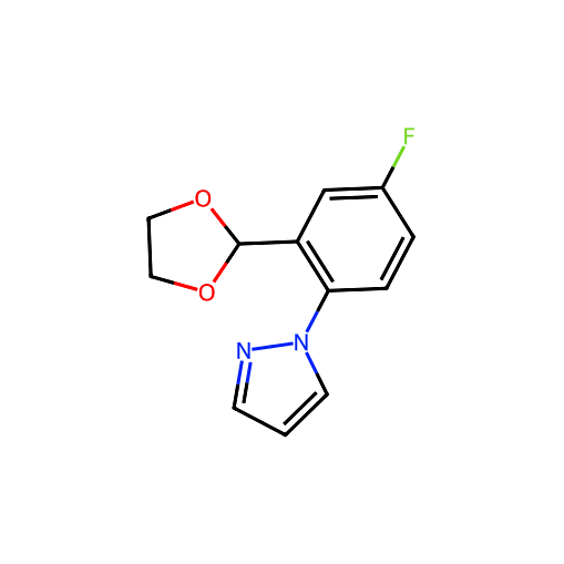 Fc1ccc(-n2cccn2)c(C2OCCO2)c1